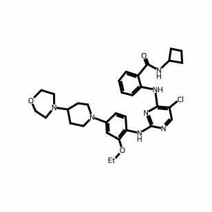 CCOc1cc(N2CCC(N3CCOCC3)CC2)ccc1Nc1ncc(Cl)c(Nc2ccccc2C(=O)NC2CCC2)n1